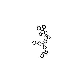 c1ccc(-c2ccc(N(c3ccc(-c4cccc5c4oc4c6c(ccc45)C(c4ccccc4)C(c4ccccc4)c4ccccc4-6)cc3)c3ccc(-c4cccc5c4sc4ccccc45)cc3)cc2)cc1